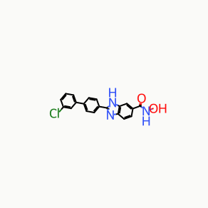 O=C(NO)c1ccc2nc(-c3ccc(-c4cccc(Cl)c4)cc3)[nH]c2c1